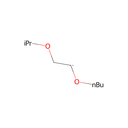 CCCCO[CH]COC(C)C